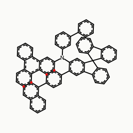 c1ccc(-c2cccc(N(c3ccc4c5ccccc5c5ccccc5c4c3)c3cc4c(cc3-c3ccc(-c5cccc6ccccc56)cc3)-c3ccccc3C43c4ccccc4-c4ccccc43)c2)cc1